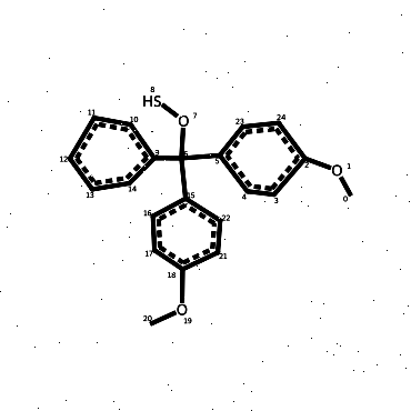 COc1ccc(C(OS)(c2ccccc2)c2ccc(OC)cc2)cc1